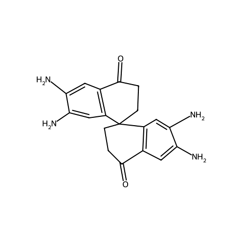 Nc1cc2c(cc1N)C1(CCC2=O)CCC(=O)c2cc(N)c(N)cc21